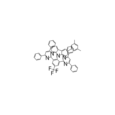 Cc1cc(C)cc(-c2ccc3c(c2)c2ccccc2n3-c2c(-c3nc(-c4ccccc4)cc(-c4ccccc4)n3)cc(C(F)(F)F)cc2-c2nc(-c3ccccc3)cc(-c3ccccc3)n2)c1